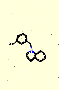 O=Cc1cccc(C[n+]2cccc3ccccc32)c1